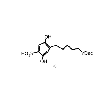 CCCCCCCCCCCCCCCc1cc(O)c(S(=O)(=O)O)cc1O.[K]